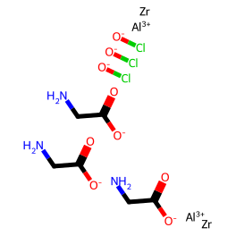 NCC(=O)[O-].NCC(=O)[O-].NCC(=O)[O-].[Al+3].[Al+3].[O-]Cl.[O-]Cl.[O-]Cl.[Zr].[Zr]